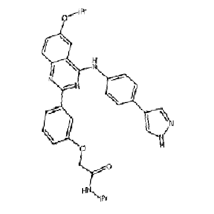 CC(C)NC(=O)COc1cccc(-c2nc(Nc3ccc(-c4cn[nH]c4)cc3)c3cc(OC(C)C)ccc3n2)c1